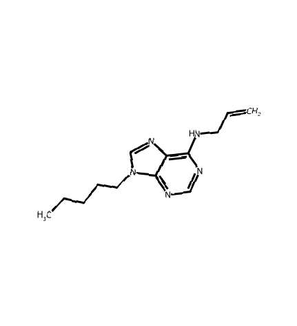 C=CCNc1ncnc2c1ncn2CCCCC